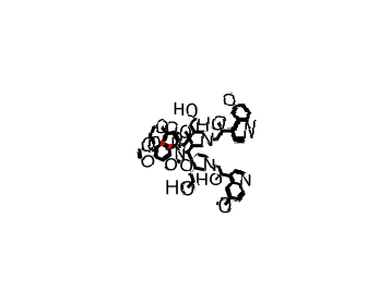 COc1ccc2nccc([C@H](O)CN3CC(CCO)C4(CN(c5ccc6c(c5)OCCO6)C(=O)O4)C(C4N(c5ccc6c(c5)OCCO6)C(=O)O[C@@]45CCN(C[C@H](O)c4ccnc6ccc(OC)cc46)C[C@@H]5CCO)C3)c2c1